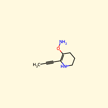 CC#CC1=C(ON)CCCN1